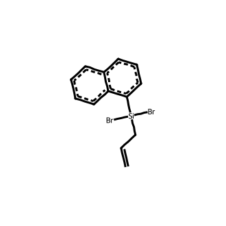 C=CC[Si](Br)(Br)c1cccc2ccccc12